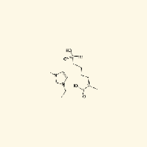 CC(=CCCCS(=O)(=O)O)C(=O)O.CCN1C=CN(C)C1